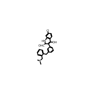 CN(C)Cc1ccccc1Cc1cccc(C2=C(O)c3ccc(Cl)cc3NC2C=O)c1